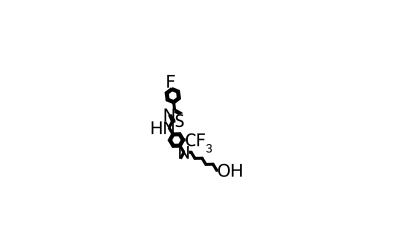 CN(CCCCCCO)c1ccc(Nc2nc(-c3ccc(F)cc3)cs2)cc1C(F)(F)F